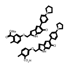 COC(=O)c1cc(OCc2cc3cc(-c4ccc(N5CCCC5)cc4)c(Cl)cc3[nH]2)ccc1C.Cc1ccc(OCc2cc3cc(-c4ccc(N5CCCC5)cc4)c(Cl)cc3[nH]2)cc1C(=O)O